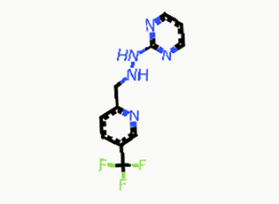 FC(F)(F)c1ccc(CNNc2ncccn2)nc1